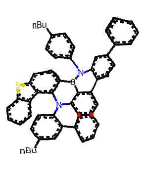 CCCCc1ccc(N2B3c4ccc5sc6ccccc6c5c4N(c4ccc(CCCC)cc4-c4ccccc4)c4cccc(c43)-c3ccc(-c4ccccc4)cc32)cc1